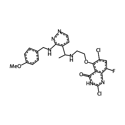 COc1ccc(CNc2nnccc2C(C)NCCOc2c(Cl)cc(F)c3nc(Cl)[nH]c(=O)c23)cc1